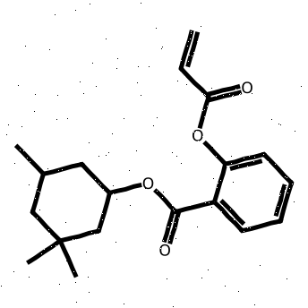 C=CC(=O)Oc1ccccc1C(=O)OC1CC(C)CC(C)(C)C1